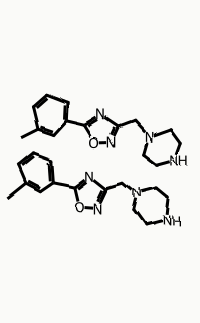 Cc1cccc(-c2nc(CN3CCNCC3)no2)c1.Cc1cccc(-c2nc(CN3CCNCC3)no2)c1